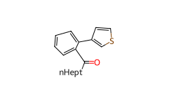 CCCCCCCC(=O)c1ccccc1-c1ccsc1